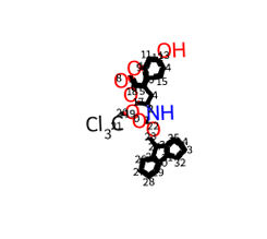 O=C(NC(Cc1cc(=O)oc2cc(O)ccc12)C(=O)OCC(Cl)(Cl)Cl)OCC1c2ccccc2-c2ccccc21